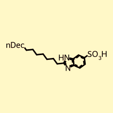 CCCCCCCCCCCCCCCCCc1nc2ccc(S(=O)(=O)O)cc2[nH]1